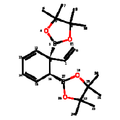 C=C[C@]1(B2OC(C)(C)C(C)(C)O2)C=CC=C[C@@H]1B1OC(C)(C)C(C)(C)O1